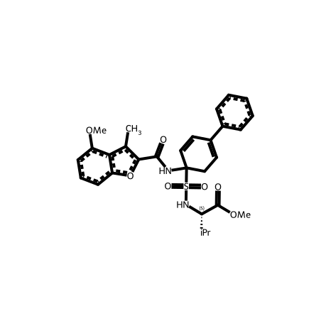 COC(=O)[C@@H](NS(=O)(=O)C1(NC(=O)c2oc3cccc(OC)c3c2C)C=CC(c2ccccc2)=CC1)C(C)C